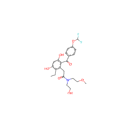 CCc1c(O)cc(O)c(C(=O)c2ccc(OC(F)F)cc2)c1CC(=O)N(CCO)CCOC